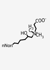 CCCCCCCCCCCCCC(O)C[N+](C)(C)CCC(=O)[O-]